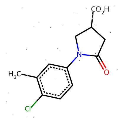 Cc1cc(N2CC(C(=O)O)CC2=O)ccc1Cl